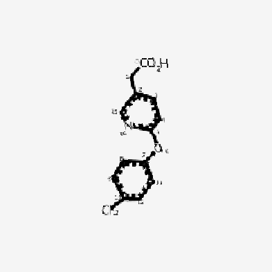 O=C(O)Cc1ccc(Oc2ccc(Cl)cc2)nc1